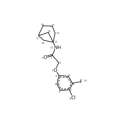 O=C(COc1ccc(Cl)c(F)c1)NC12CCCC(C1)C2